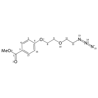 COC(=O)c1ccc(OCCOCCN=[N+]=[N-])cc1